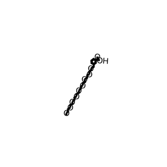 COCCOCCOCCOCCOCCOCCOCCOCCOCc1cccc(C(=O)O)c1